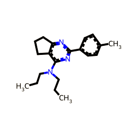 CCCN(CCC)c1nc(-c2ccc(C)cc2)nc2c1CCC2